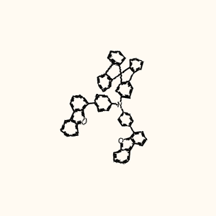 c1ccc2c(c1)-c1ccccc1C21c2ccccc2-c2ccc(N(c3ccc(-c4cccc5c4oc4ccccc45)cc3)c3ccc(-c4cccc5c4oc4ccccc45)cc3)cc21